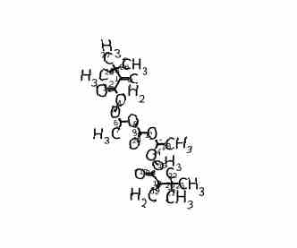 C=C(C(=O)OOC(C)OC(=O)OC(C)OOC(=O)C(=C)C(C)(C)C)C(C)(C)C